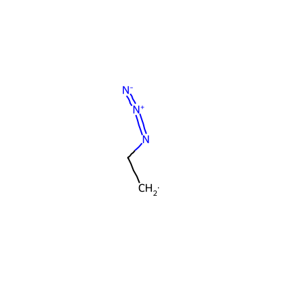 [CH2]CN=[N+]=[N-]